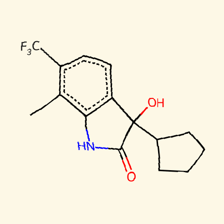 Cc1c(C(F)(F)F)ccc2c1NC(=O)C2(O)C1CCCC1